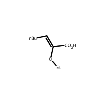 CCCC/C=C(\OCC)C(=O)O